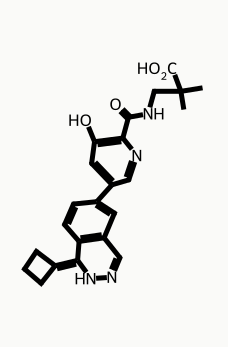 CC(C)(CNC(=O)c1ncc(-c2ccc3c(c2)C=NNC3=C2CCC2)cc1O)C(=O)O